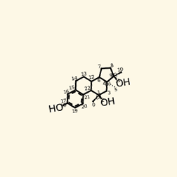 C[C@]1(O)C[C@@]2(C)C(CC[C@]2(C)O)C2CCc3cc(O)ccc3C21